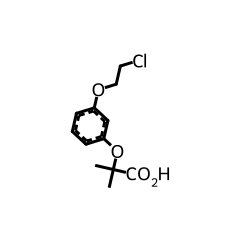 CC(C)(Oc1cccc(OCCCl)c1)C(=O)O